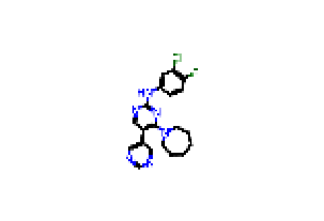 Fc1ccc(Nc2ncc(-c3cncnc3)c(N3CCCCCC3)n2)cc1Cl